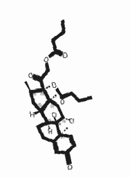 CCCC(=O)OCC(=O)[C@]1(OC(=O)CCC)[C@H](C)C[C@H]2[C@@H]3CCC4=CC(=O)C=C[C@]4(C)[C@@]3(Cl)[C@@H](Cl)C[C@@]21C